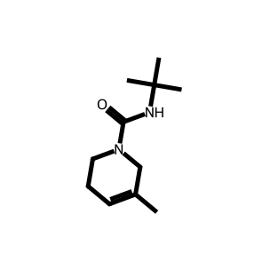 CC1=CCCN(C(=O)NC(C)(C)C)C1